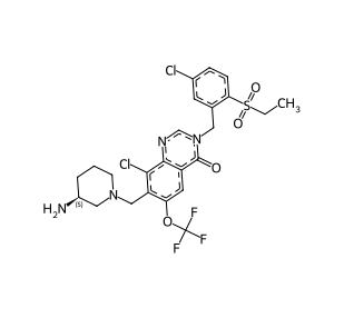 CCS(=O)(=O)c1ccc(Cl)cc1Cn1cnc2c(Cl)c(CN3CCC[C@H](N)C3)c(OC(F)(F)F)cc2c1=O